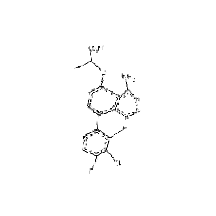 CC(Oc1ccc(-c2ccc(F)c(Cl)c2F)c2ncnc(N)c12)C(=O)O